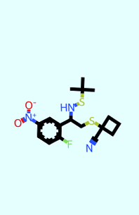 CC(C)(C)SNC(CSC1(C#N)CCC1)c1cc([N+](=O)[O-])ccc1F